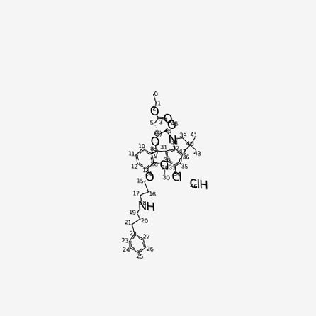 CCOC(=O)C[C@H]1O[C@H](c2cccc(OCCCNCCCc3ccccc3)c2OC)c2cc(Cl)ccc2N(CC(C)(C)C)C1=O.Cl